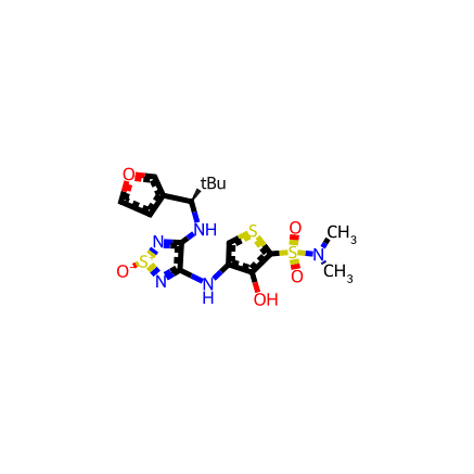 CN(C)S(=O)(=O)c1scc(Nc2n[s+]([O-])nc2N[C@@H](c2ccoc2)C(C)(C)C)c1O